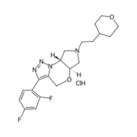 Cl.Fc1ccc(-c2nnn3c2CO[C@@H]2CN(CCC4CCOCC4)C[C@H]23)c(F)c1